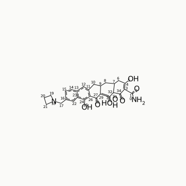 NC(=O)C1=C(O)CC2CC3Cc4cc5ccc(CN6CCC6)cc5c(O)c4C(=O)C3=C(O)[C@]2(O)C1=O